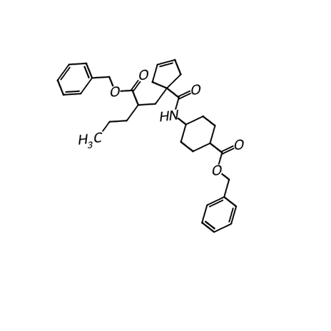 CCCC(CC1(C(=O)NC2CCC(C(=O)OCc3ccccc3)CC2)CC=CC1)C(=O)OCc1ccccc1